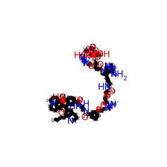 CCCCc1c2c(cc3c1=NCCC3)=C(c1cc(C(=O)NCCNC(=O)c3cccc(OCC(N=[N+]=[N-])OCCOCC(=O)NCC#Cc4cn([C@H]5CC(OCN=[N+]=[N-])[C@@H](COP(=O)(O)OP(=O)(O)OP(C)(=O)O)O5)c5ncnc(N)c45)c3)ccc1C(=O)O)c1cc3c4c(c1O2)CCCN4CCC3